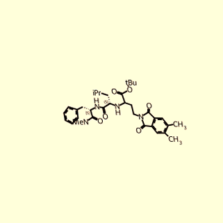 CNC(=O)[C@H](Cc1ccccc1)NC(=O)[C@H](CC(C)C)NC(CCN1C(=O)c2cc(C)c(C)cc2C1=O)C(=O)OC(C)(C)C